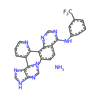 Cc1ccc2c(Nc3cccc(C(F)(F)F)c3)ncnc2c1-c1ncccc1-c1ncnc2[nH]cnc12.N